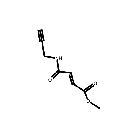 C#CCNC(=O)/C=C/C(=O)OC